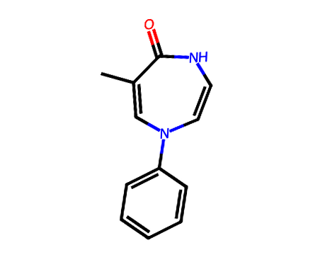 CC1=CN(c2ccccc2)C=CNC1=O